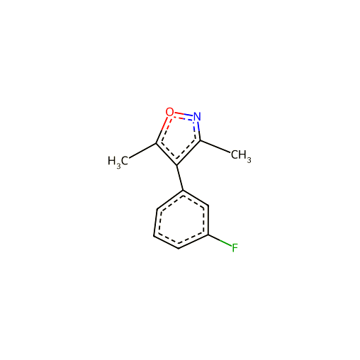 Cc1noc(C)c1-c1cccc(F)c1